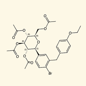 CCOc1ccc(Cc2cc([C@@H]3O[C@H](COC(C)=O)[C@@H](OC(C)=O)[C@H](OC(C)=O)[C@H]3OC(C)=O)ccc2Br)cc1